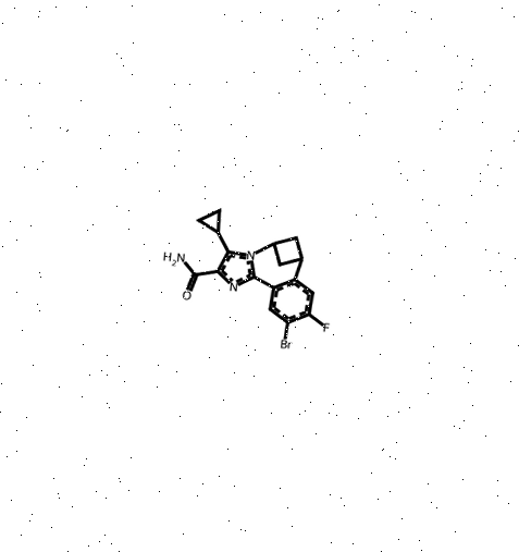 NC(=O)c1nc2n(c1C1CC1)C1CC(C1)c1cc(F)c(Br)cc1-2